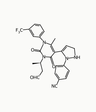 Cc1c(C2=CCNN2c2ccc(C#N)cc2)c(=O)n([C@H](C)CC=O)c(=O)n1-c1cccc(C(F)(F)F)c1